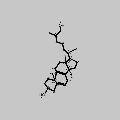 CC(CO)CCC[C@@H](C)[C@H]1CC[C@H]2C3=C(CC[C@]12C)[C@@]1(C)CC[C@H](O)CC1=CC3